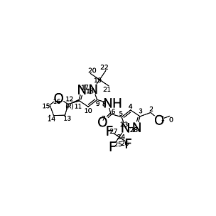 COCc1cc(C(=O)Nc2cc([C@H]3C[CH]CO3)nn2C(C)(C)C)n(C(F)(F)F)n1